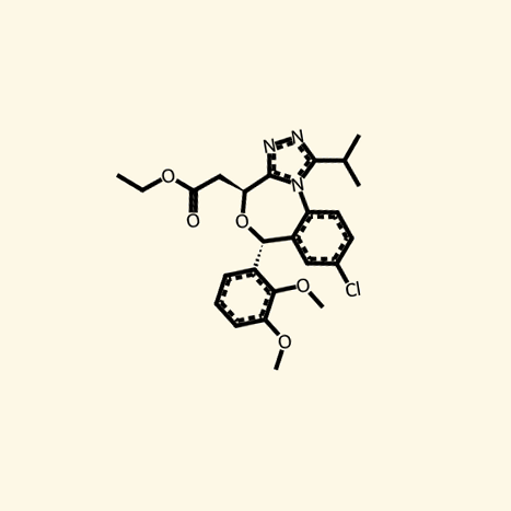 CCOC(=O)C[C@@H]1O[C@@H](c2cccc(OC)c2OC)c2cc(Cl)ccc2-n2c(C(C)C)nnc21